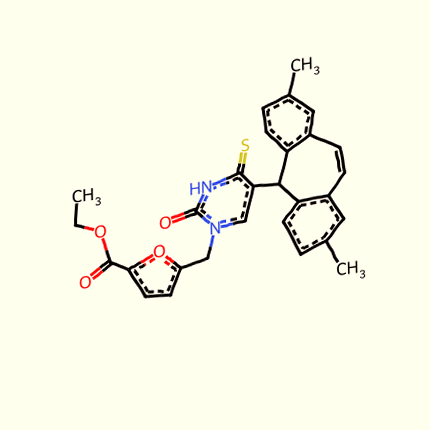 CCOC(=O)c1ccc(Cn2cc(C3c4ccc(C)cc4C=Cc4cc(C)ccc43)c(=S)[nH]c2=O)o1